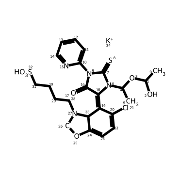 CC(O)OC(C)N1C(=S)N(c2ccccn2)C(=O)C1=C1C(Cl)=CC=C2O[CH-]N(CCCCS(=O)(=O)O)C21.[K+]